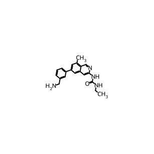 CCNC(=O)Nc1cc2cc(-c3cccc(CN)c3)cc(C)c2cn1